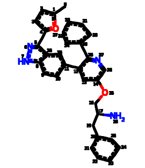 Cc1ccc(-c2n[nH]c3ccc(-c4cc(OC[C@@H](N)Cc5ccccc5)cnc4-c4ccccc4)cc23)o1